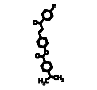 C=C(C)c1ccc(C(=O)Oc2ccc(C=CC(=O)c3ccc(F)cc3)cc2)cc1